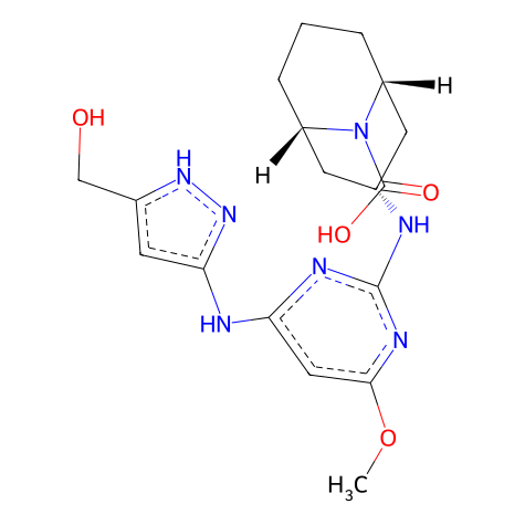 COc1cc(Nc2cc(CO)[nH]n2)nc(N[C@H]2C[C@H]3CCC[C@@H](C2)N3C(=O)O)n1